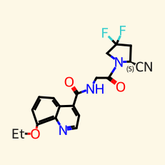 CCOc1cccc2c(C(=O)NCC(=O)N3CC(F)(F)C[C@H]3C#N)ccnc12